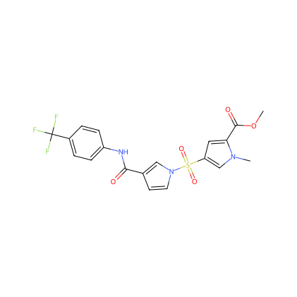 COC(=O)c1cc(S(=O)(=O)n2ccc(C(=O)Nc3ccc(C(F)(F)F)cc3)c2)cn1C